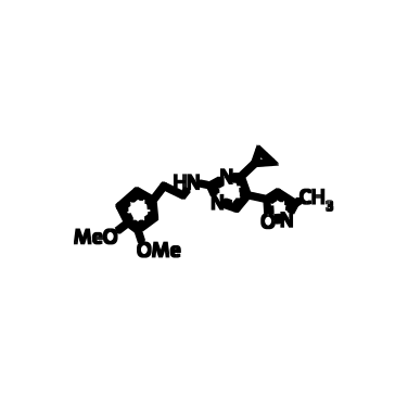 COc1ccc(CCNc2ncc(-c3cc(C)no3)c(C3CC3)n2)cc1OC